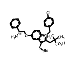 CC(C)(C)Sc1c(CC(C)(C)C(=O)O)n(Cc2ccc(Cl)cc2)c2ccc(OC[C@H](N)c3ccccc3)cc12